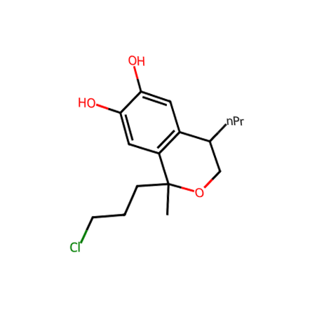 CCCC1COC(C)(CCCCl)c2cc(O)c(O)cc21